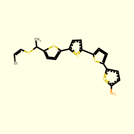 CC/C=C\SC(C)C1=C=C=C(c2ccc(C3=C=C=C(c4ccc(P)s4)S3)s2)S1